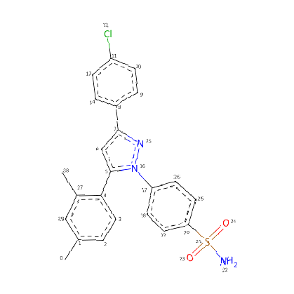 Cc1ccc(-c2cc(-c3ccc(Cl)cc3)nn2-c2ccc(S(N)(=O)=O)cc2)c(C)c1